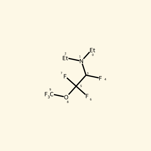 CCN(CC)C(F)C(F)(F)OC(F)(F)F